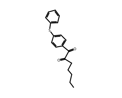 CCCCCC(=O)C(=O)c1ccc(Sc2ccccc2)cc1